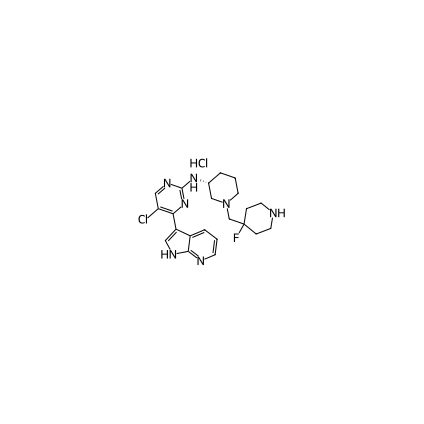 Cl.FC1(CN2CCC[C@@H](Nc3ncc(Cl)c(-c4c[nH]c5ncccc45)n3)C2)CCNCC1